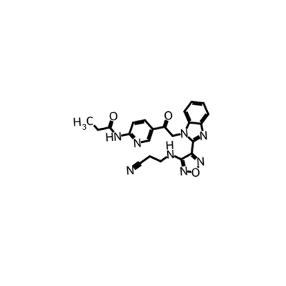 CCC(=O)Nc1ccc(C(=O)Cn2c(-c3nonc3NCCC#N)nc3ccccc32)cn1